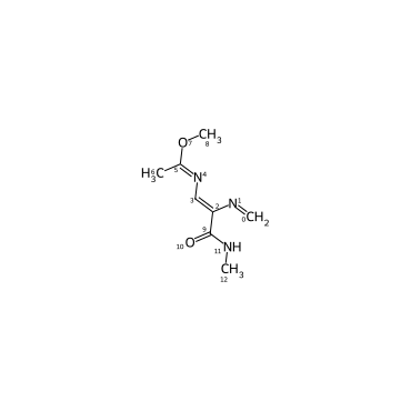 C=N/C(=C\N=C(/C)OC)C(=O)NC